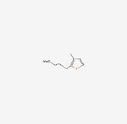 COCCCc1sccc1C